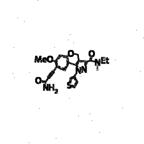 CCN(C)C(=O)c1nn(-c2ccsc2)c2c1COc1cc(OC)c(C#CC(N)=O)cc1-2